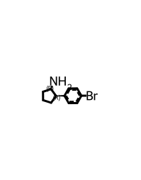 N[C@@H]1CCC[C@@H]1c1ccc(Br)cc1